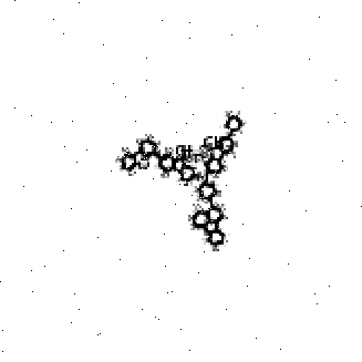 CC1(C)c2cc(-c3ccccc3)ccc2-c2ccc(N(c3ccc(-c4ccc5c6c(cccc46)-c4ccccc4-5)cc3)c3ccc4c(c3)C(C)(C)c3cc(-c5cccc6c5oc5ccccc56)ccc3-4)cc21